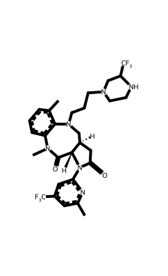 Cc1cc(C(F)(F)F)cc(N2C(=O)C[C@@H]3CN(CCCN4CCNC(C(F)(F)F)C4)c4c(C)cccc4N(C)C(=O)[C@H]32)n1